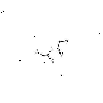 O=C(CCl)OC(=O)CBr